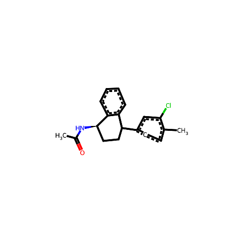 CC(=O)N[C@@H]1CCC(c2ccc(C)c(Cl)c2)c2ccccc21